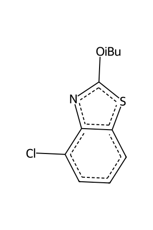 CC(C)COc1nc2c(Cl)cccc2s1